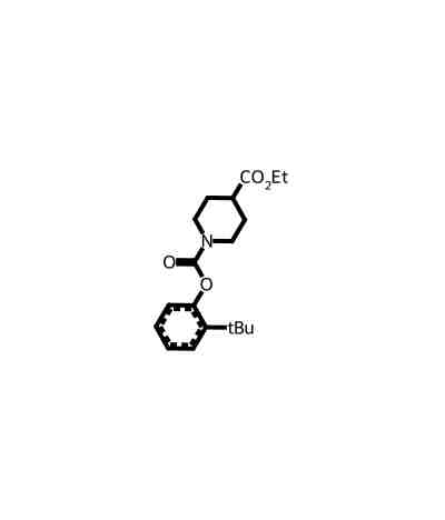 CCOC(=O)C1CCN(C(=O)Oc2ccccc2C(C)(C)C)CC1